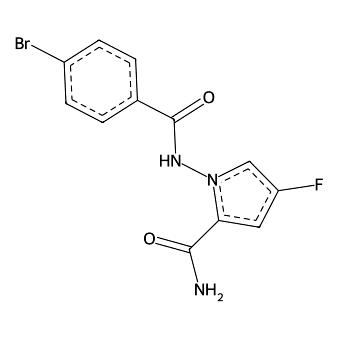 NC(=O)c1cc(F)cn1NC(=O)c1ccc(Br)cc1